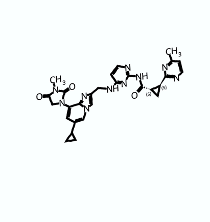 Cc1ccnc([C@H]2C[C@@H]2C(=O)Nc2nccc(NCc3cn4cc(C5CC5)cc(N5CC(=O)N(C)C5=O)c4n3)n2)n1